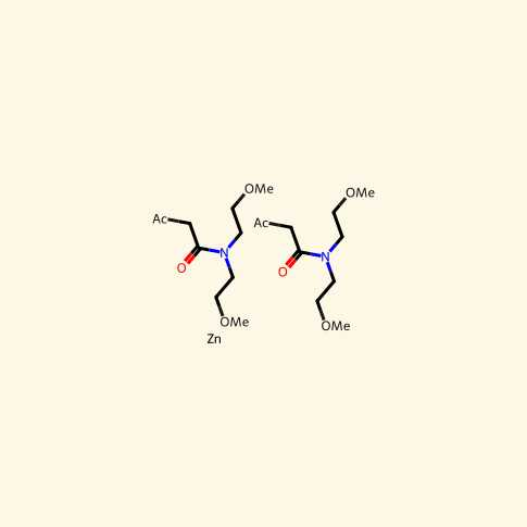 COCCN(CCOC)C(=O)CC(C)=O.COCCN(CCOC)C(=O)CC(C)=O.[Zn]